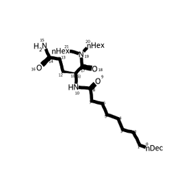 CCCCCCCCCCCCCCCCCC(=O)N[C@@H](CCC(N)=O)C(=O)N(CCCCCC)CCCCCC